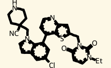 CCn1ccc(=O)n(Cc2cc3nccc(-c4cc(Cl)cc5ccn(CC6(C#N)CCNCC6)c45)c3s2)c1=O